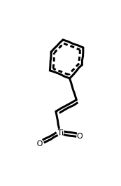 [O]=[Ti](=[O])[CH]=Cc1ccccc1